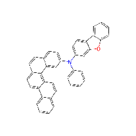 c1ccc(N(c2ccc3c(c2)oc2ccccc23)c2ccc3ccc4ccc5c6ccccc6ccc5c4c3c2)cc1